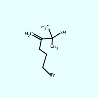 C=C(CCCC(C)C)C(C)(C)S